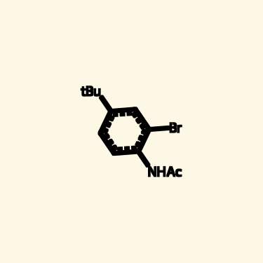 CC(=O)Nc1ccc(C(C)(C)C)cc1Br